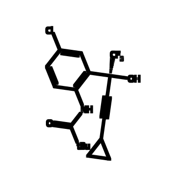 CC(C)(C)C(=O)Nc1ccc(Cl)cc1[C@@](O)(C#CC1CC1)C(F)(F)F